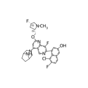 CN1C[C@@H](F)C[C@H]1COc1cc(N2CC3CCC(C2)N3)c2cnc(-c3cc(O)cc4ccc(F)c(Cl)c34)c(F)c2n1